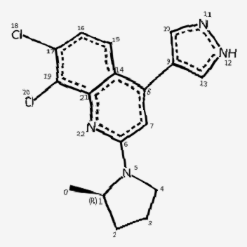 C[C@@H]1CCCN1c1cc(-c2cn[nH]c2)c2ccc(Cl)c(Cl)c2n1